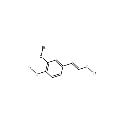 CCOC=Cc1ccc(OCC)c(OCC)c1